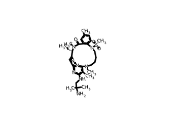 CC[C@H]1c2cc3nc(NCC(C)(C)N)c(C)c(n3n2)N(C)CCCCN(S(C)(=O)=O)c2ccc(C)cc2C(=O)N1C